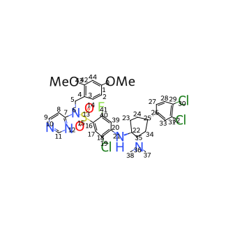 COc1ccc(CN(c2ccncn2)S(=O)(=O)c2cc(Cl)c(N[C@H]3CC[C@H](c4ccc(Cl)c(Cl)c4)C[C@@H]3N(C)C)cc2F)c(OC)c1